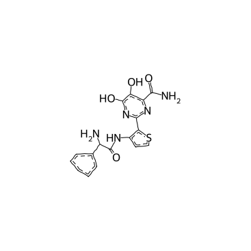 NC(=O)c1nc(-c2sccc2NC(=O)C(N)c2ccccc2)nc(O)c1O